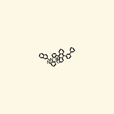 O=S1(=O)c2c(-c3c4ccccc4c(-c4cccc(-c5ccccc5)c4)c4ccccc34)cccc2-n2c(-c3ccc4ccccc4c3)nc3cccc1c32